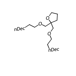 CCCCCCCCCCCCOCC1(COCCCCCCCCCCCC)CCCO1